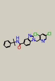 CC(C)(NC(=O)c1ccc2c(c1)ncn2Cc1ncc(Cl)cc1Cl)c1ccccc1